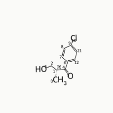 C[C@H](CO)C(=O)c1ccc(Cl)cc1